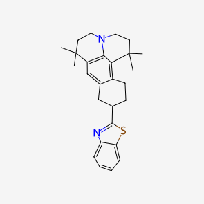 CC1(C)CCN2CCC(C)(C)c3c4c(cc1c32)CC(c1nc2ccccc2s1)CC4